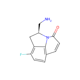 NC[C@@H]1Cc2c(F)ccc3ccc(=O)n1c23